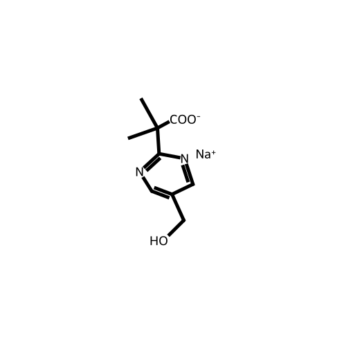 CC(C)(C(=O)[O-])c1ncc(CO)cn1.[Na+]